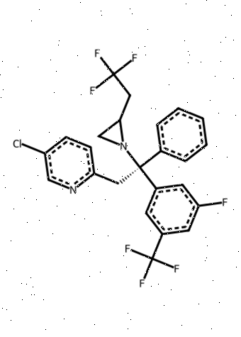 Fc1cc(C(F)(F)F)cc([C@](Cc2ccc(Cl)cn2)(c2ccccc2)N2CC2CC(F)(F)F)c1